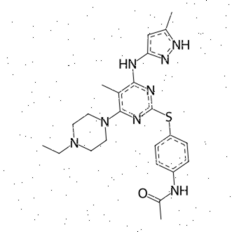 CCN1CCN(c2nc(Sc3ccc(NC(C)=O)cc3)nc(Nc3cc(C)[nH]n3)c2C)CC1